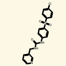 O=C(NCc1cccnc1)Nc1ccc(S(=O)(=O)c2ccc(Cl)cc2)cc1